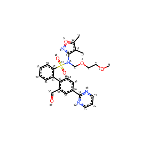 COCCOCN(c1noc(C)c1C)S(=O)(=O)c1ccccc1-c1ccc(-c2ncccn2)cc1C=O